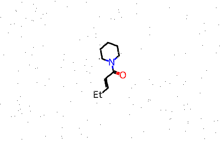 CCC=CC(=O)N1[CH]CCCC1